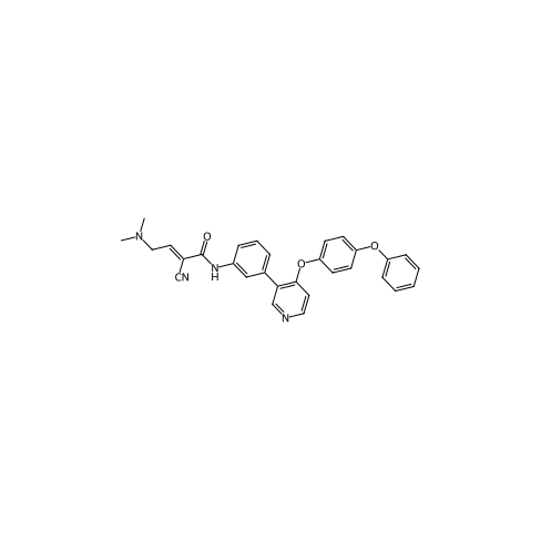 CN(C)C/C=C(\C#N)C(=O)Nc1cccc(-c2cnccc2Oc2ccc(Oc3ccccc3)cc2)c1